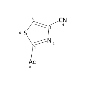 CC(=O)c1nc(C#N)cs1